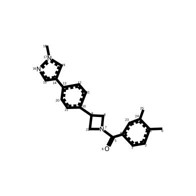 Cc1ccc(C(=O)N2CC(c3ccc(-c4cnn(C)c4)cc3)C2)cc1C